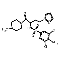 CC1CCN(C(=O)C(CCn2cccn2)NS(=O)(=O)c2cc(Cl)c(N)c(Cl)c2)CC1